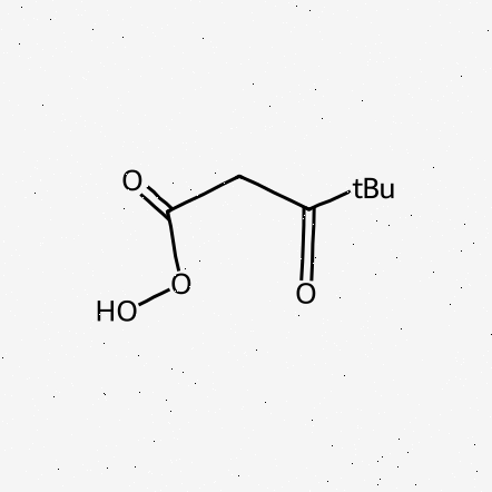 CC(C)(C)C(=O)CC(=O)OO